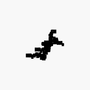 C#CCON=C(C(=O)NC1C(=O)N2C(C(=O)O)=C(CSc3nnnn3C=CCC(=O)O)CS[C@@H]12)c1csc(N)n1